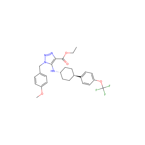 CCOC(=O)c1nnn(Cc2ccc(OC)cc2)c1N[C@H]1CC[C@H](c2ccc(OC(F)(F)F)cc2)CC1